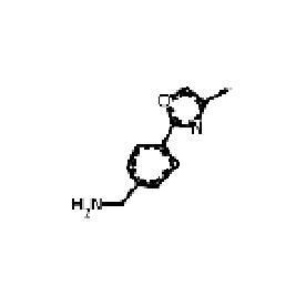 [CH2]c1coc(-c2ccc(CN)cc2)n1